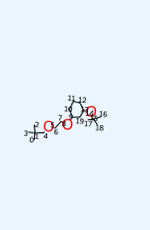 CC(C)(C)COCCOC1CCCC(OC(C)(C)C)C1